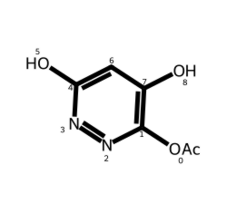 CC(=O)Oc1nnc(O)cc1O